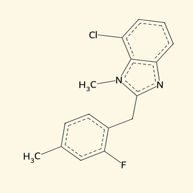 Cc1ccc(Cc2nc3cccc(Cl)c3n2C)c(F)c1